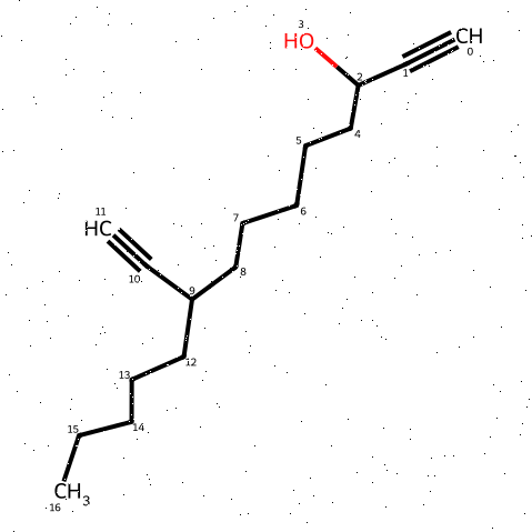 C#CC(O)CCCCCC(C#C)CCCCC